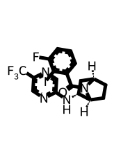 O=C(c1cccc(F)c1I)N1[C@@H]2CC[C@H]1[C@H](Nc1cnc(C(F)(F)F)cn1)C2